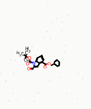 CC(C)(C)OC(=O)n1c(C=O)cc2c(C(=O)OCc3ccccc3)cccc21